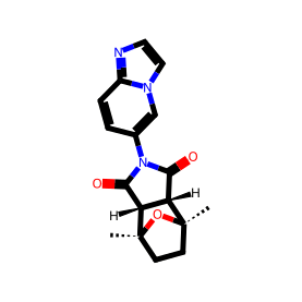 C[C@]12CC[C@](C)(O1)[C@@H]1C(=O)N(c3ccc4nccn4c3)C(=O)[C@@H]12